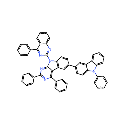 c1ccc(-c2nc(-c3ccccc3)c3c4cc(-c5ccc6c(c5)c5ccccc5n6-c5ccccc5)ccc4n(-c4nc(-c5ccccc5)c5ccccc5n4)c3n2)cc1